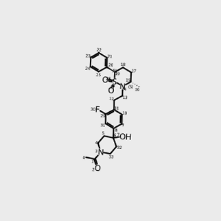 CC(=O)N1CCC(O)(c2ccc(CCN3[C@@H](C)CC[C@H](c4ccccc4)S3(=O)=O)c(F)c2)CC1